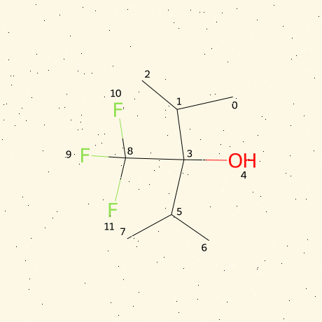 CC(C)C(O)(C(C)C)C(F)(F)F